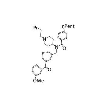 CCCCCc1ccc(C(=O)N(Cc2cccc(C(=O)c3cccc(OC)c3)c2)C2CCN(CCC(C)C)CC2)cc1